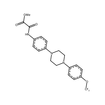 COC(=O)C(=O)Nc1ccc(N2CCN(c3ccc(OC(F)(F)F)cc3)CC2)cc1